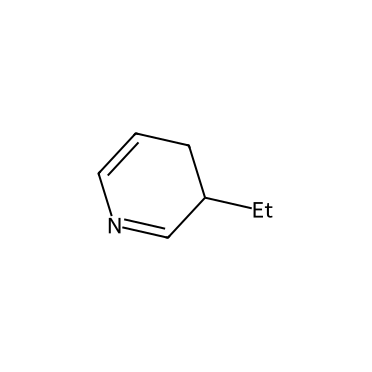 CCC1C=NC=CC1